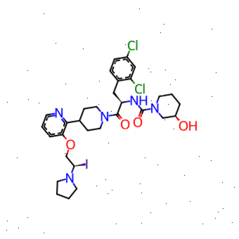 O=C(N[C@H](Cc1ccc(Cl)cc1Cl)C(=O)N1CCC(c2ncccc2OC[C@@H](I)N2CCCC2)CC1)N1CCC[C@@H](O)C1